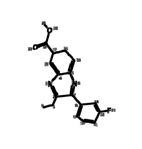 CCc1nc2c(nc1-c1cccc(F)c1)=CCC(C(=O)OC)C=2